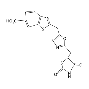 O=C1NC(=O)C(Cc2nnc(Cc3nc4ccc(C(=O)O)cc4s3)o2)S1